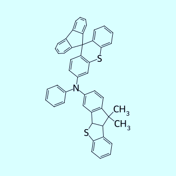 CC1(C)c2ccc(N(c3ccccc3)c3ccc4c(c3)Sc3ccccc3C43c4ccccc4-c4ccccc43)cc2C2Sc3ccccc3C21